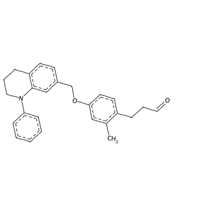 Cc1cc(OCc2ccc3c(c2)N(c2ccccc2)CCC3)ccc1CCC=O